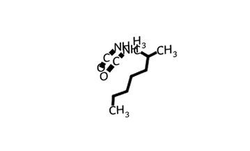 CCCCCC(C)C.N=C=O.N=C=O